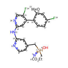 CCOC(=O)N=[SH](C)(O)Cc1ccnc(Nc2cc(-c3ccc(F)cc3OC)c(F)cn2)c1